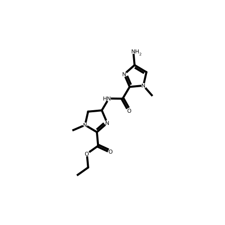 CCOC(=O)C1=NC(NC(=O)c2nc(N)cn2C)CN1C